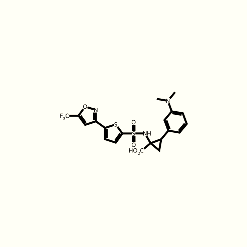 CN(C)c1cccc(C2CC2(NS(=O)(=O)c2ccc(-c3cc(C(F)(F)F)on3)s2)C(=O)O)c1